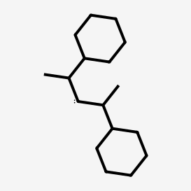 CC([C]C(C)C1CCCCC1)C1CCCCC1